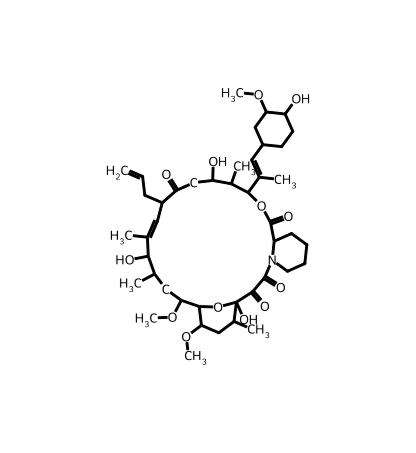 C=CCC1/C=C(\C)C(O)C(C)CC(OC)C2OC(O)(C(=O)C(=O)N3CCCCC3C(=O)OC(C(C)=CC3CCC(O)C(OC)C3)C(C)C(O)CC1=O)C(C)CC2OC